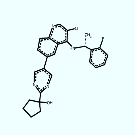 C[C@@H](Nc1c(Cl)cnc2ccc(-c3cnc(C4(O)CCCC4)nc3)cc12)c1ccccc1F